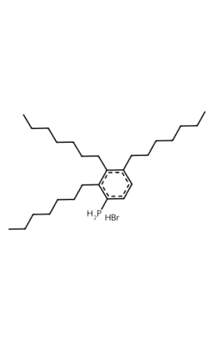 Br.CCCCCCCc1ccc(P)c(CCCCCCC)c1CCCCCCC